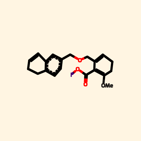 COC1=C(C(=O)OI)C(COCc2ccc3c(c2)C=CCC3)=CCC1